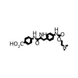 CN(C)CCOC(=O)Nc1ccc(CC(N)C(=O)Nc2ccc(C(=O)O)cc2)cc1